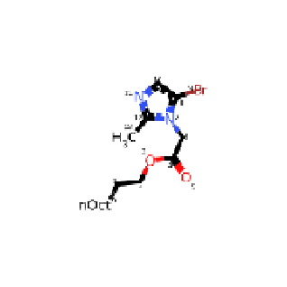 CCCCCCCCCCOC(=O)Cn1c(Br)cnc1C